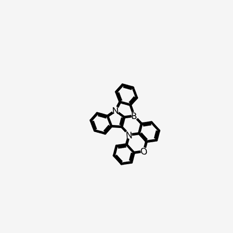 c1ccc2c(c1)Oc1cccc3c1N2c1c2n(c4ccccc14)-c1ccccc1B32